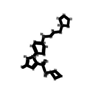 Cc1cc(C(=O)NC2CCC2)n(-c2ccc(OCCCN3CCCC3)cc2)n1